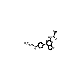 CCSNc1ccc(-c2nc(NC(=O)C3CC3)nc3[nH]ccc23)cc1